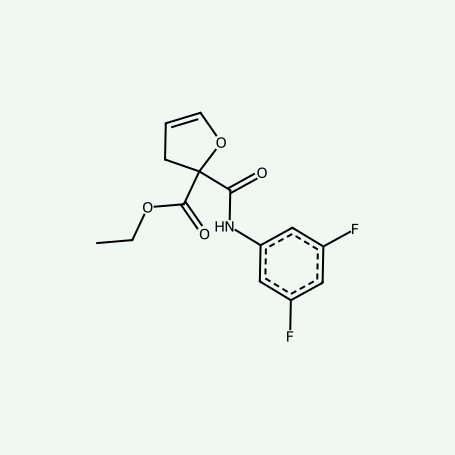 CCOC(=O)C1(C(=O)Nc2cc(F)cc(F)c2)CC=CO1